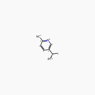 CC(C)[C@H](C)c1ccc(C#N)nc1